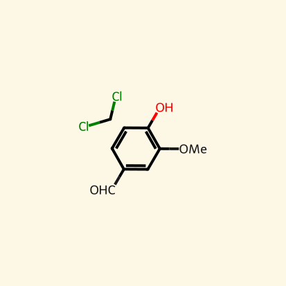 COc1cc(C=O)ccc1O.ClCCl